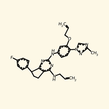 C=CCNc1nc(Nc2ccc(-n3cnc(C)n3)c(OCC=C)c2)nc2c1CCC2c1ccc(F)cc1